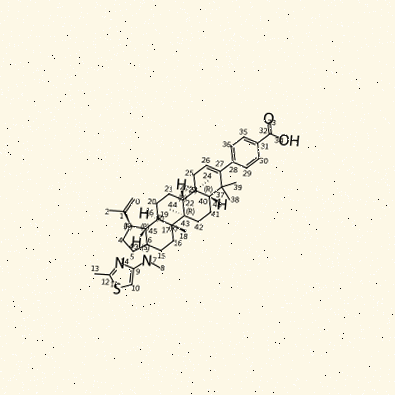 C=C(C)[C@@H]1CC[C@]2(N(C)c3csc(C)n3)CC[C@]3(C)[C@H](CC[C@@H]4[C@@]5(C)CC=C(c6ccc(C(=O)O)cc6)C(C)(C)[C@@H]5CC[C@]43C)[C@@H]12